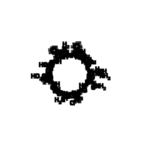 CCCC[C@H]1C(=O)N(C)[C@@H](CCCC)C(=O)N[C@@H](CCCNC(=N)N)C(=O)N[C@H](C(=O)NCC(N)=O)CSCC(=O)N[C@@H](Cc2ccc(Cl)cc2)C(=O)N(C)[C@@H](C)C(=O)N[C@@H](CC(N)=O)C(=O)N2CCC[C@H]2C(=O)N[C@@H](Cc2cnc[nH]2)C(=O)N[C@@H](CCC(=O)O)C(=O)N2C[C@H](O)C[C@H]2C(=O)N[C@@H](Cc2c[nH]c3ccccc23)C(=O)NC(CCN)C(=O)N[C@@H](Cc2c[nH]c3ccccc23)C(=O)N1C